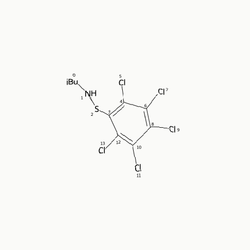 CCC(C)NSc1c(Cl)c(Cl)c(Cl)c(Cl)c1Cl